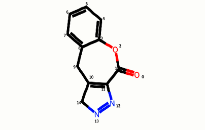 O=C1Oc2ccccc2CC2=C1N=NC2